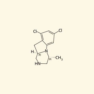 C[C@@H]1CNC[C@H]2Cc3c(Cl)cc(Cl)cc3N21